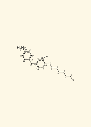 CCCCCCCCc1ccc(Cc2ccc(N)cc2)cc1C